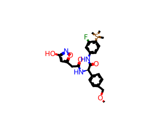 COCc1ccc([C@@H](NC(=O)Cc2cc(O)no2)C(=O)Nc2ccc(S(C)(C)C)c(F)c2)cc1